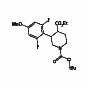 CCOC(=O)C1CCN(C(=O)OC(C)(C)C)CC1c1c(F)cc(OC)cc1F